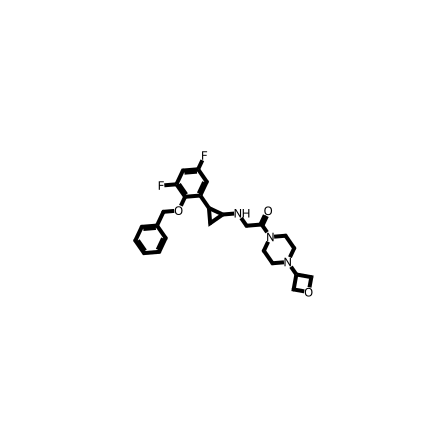 O=C(CNC1CC1c1cc(F)cc(F)c1OCc1ccccc1)N1CCN(C2COC2)CC1